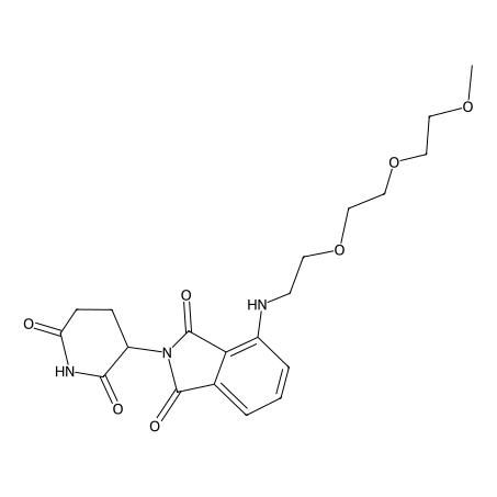 COCCOCCOCCNc1cccc2c1C(=O)N(C1CCC(=O)NC1=O)C2=O